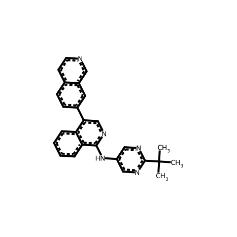 CC(C)(C)c1ncc(Nc2ncc(-c3ccc4ccncc4c3)c3ccccc23)cn1